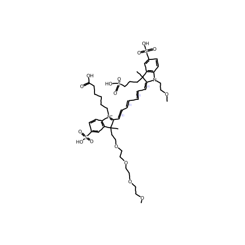 COCCOCCOCCOCCC1(C)C(/C=C/C=C/C=C/C=C2/N(CCOC)c3ccc(S(=O)(=O)O)cc3C2(C)CCCS(=O)(=O)O)=[N+](CCCCCC(=O)O)c2ccc(S(=O)(=O)O)cc21